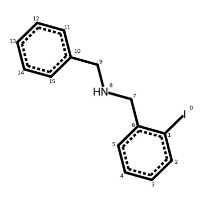 Ic1ccccc1CNCc1ccccc1